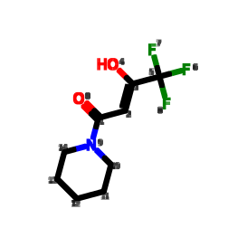 O=C(C=C(O)C(F)(F)F)N1CCCCC1